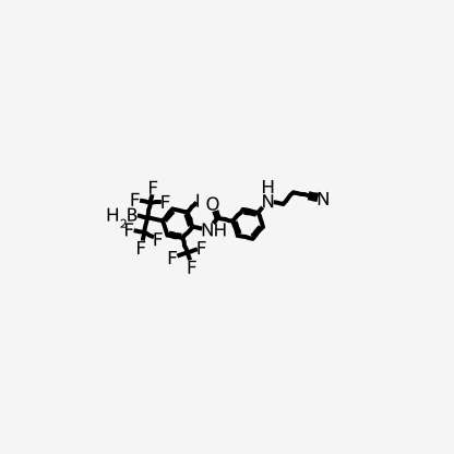 BC(c1cc(I)c(NC(=O)c2cccc(NCCC#N)c2)c(C(F)(F)F)c1)(C(F)(F)F)C(F)(F)F